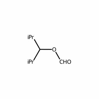 CC(C)C(OC=O)C(C)C